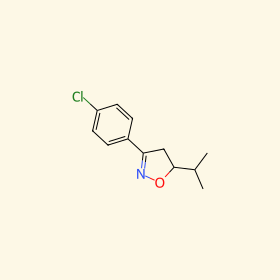 CC(C)C1CC(c2ccc(Cl)cc2)=NO1